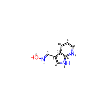 ON=Cc1c[nH]c2ncccc12